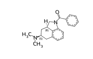 CN(C)[C@@H]1Cc2cccc3c2[C@@H](C1)CN3C(=O)c1ccccc1